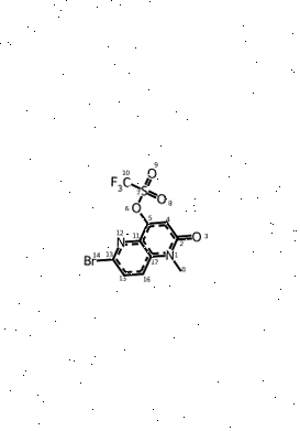 Cn1c(=O)cc(OS(=O)(=O)C(F)(F)F)c2nc(Br)ccc21